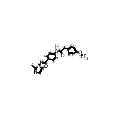 Cc1ncc2oc(-c3ccc(NC(=O)Cc4ccc(OC(F)(F)F)cc4)cc3)nn12